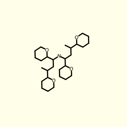 CC(CC([N]C(CC(C)C1CCCCO1)C1CCCCO1)C1CCCCO1)C1CCCCO1